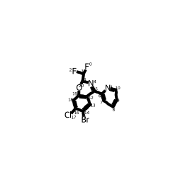 FC(F)C1N=C(c2ccccn2)c2cc(Br)c(Cl)cc2O1